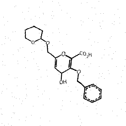 O=C(O)C1=C(OCc2ccccc2)C(O)C=C(COC2CCCCO2)O1